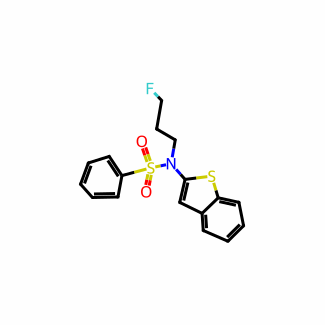 O=S(=O)(c1ccccc1)N(CCCF)c1cc2ccccc2s1